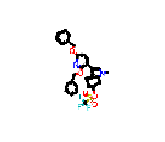 Cn1cc(-c2ccc(OCc3ccccc3)nc2OCc2ccccc2)c2ccc(OS(=O)(=O)C(F)(F)F)cc21